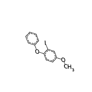 COc1ccc(Oc2ccccc2)c(I)c1